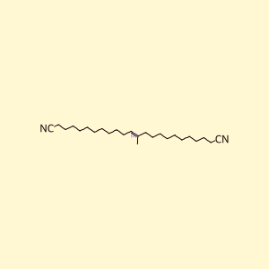 C/C(=C\CCCCCCCCCCC#N)CCCCCCCCCCC#N